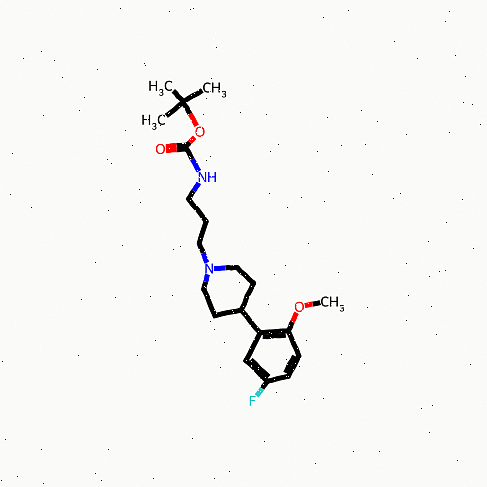 COc1ccc(F)cc1C1CCN(CCCNC(=O)OC(C)(C)C)CC1